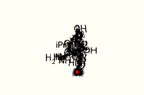 CC(C)C[C@H](NC(=O)[C@@H](CC(C)C)NC(=O)[C@H](Cc1ccc(O)cc1)NC(=O)[C@@H](N)CO)C(=O)N[C@@H](CCCNC(=N)N)C(=O)N1CCC[C@H]1C(=O)CC(=O)NC(=O)CC12CC3CC(CC(C3)C1)C2